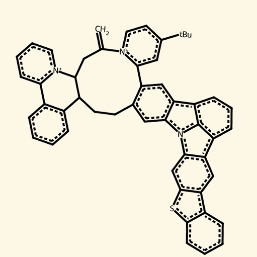 C=C1CC2C(CCc3cc4c(cc3-c3cc(C(C)(C)C)cc[n+]31)c1cccc3c5cc6c(cc5n4c13)sc1ccccc16)c1ccccc1-c1cccc[n+]12